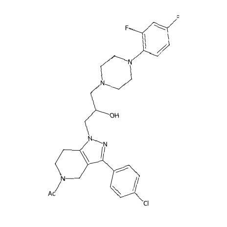 CC(=O)N1CCc2c(c(-c3ccc(Cl)cc3)nn2CC(O)CN2CCN(c3ccc(F)cc3F)CC2)C1